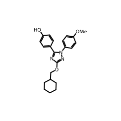 COc1ccc(-n2nc(OCC3CCCCC3)nc2-c2ccc(O)cc2)cc1